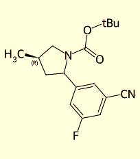 C[C@@H]1CC(c2cc(F)cc(C#N)c2)N(C(=O)OC(C)(C)C)C1